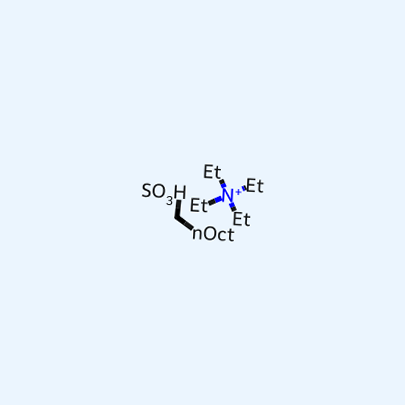 CCCCCCCCCS(=O)(=O)O.CC[N+](CC)(CC)CC